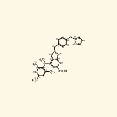 CCOC(=O)c1nc(N(C)c2c(C)cc(N)nc2C)c2cn(Cc3ccc(Cn4cccn4)cc3)nc2n1